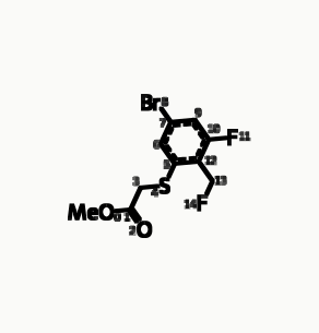 COC(=O)CSc1cc(Br)cc(F)c1CF